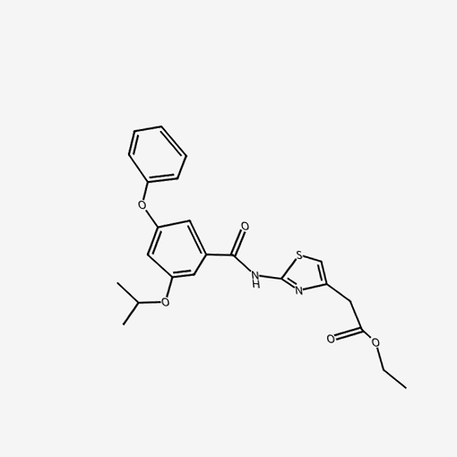 CCOC(=O)Cc1csc(NC(=O)c2cc(Oc3ccccc3)cc(OC(C)C)c2)n1